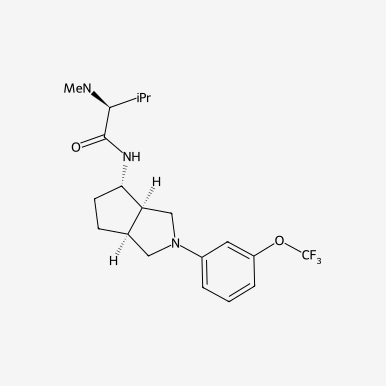 CN[C@H](C(=O)N[C@H]1CC[C@@H]2CN(c3cccc(OC(F)(F)F)c3)C[C@@H]21)C(C)C